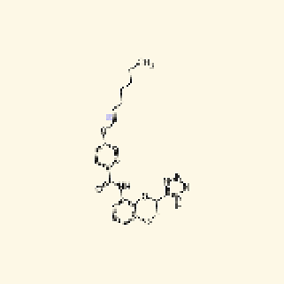 CCCCC/C=C/Oc1ccc(C(=O)Nc2cccc3c2OC(c2nnn[nH]2)CO3)cc1